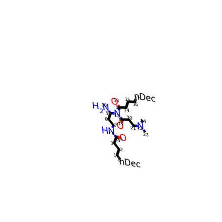 CCCCCCCCCCCCCC(=O)NCCC(N)N(C(=O)CCCCCCCCCCCCC)C(=O)CCN(C)C